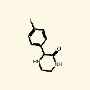 O=C1NCCNC1c1ccc(I)cc1